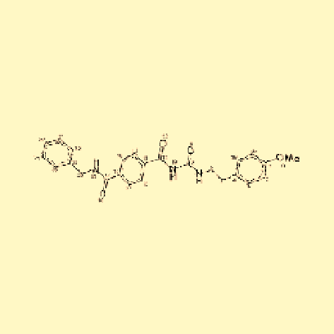 COc1ccc(CCNC(=O)NC(=O)c2ccc(C(=O)NCc3ccccc3)cc2)cc1